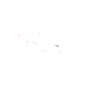 CC(C)(C)C[C@H]1CCN(C(=O)O)S(=O)(=O)O1